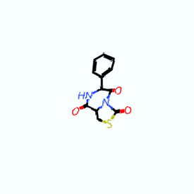 O=C1NC(c2ccccc2)C(=O)N2C(=O)SCC12